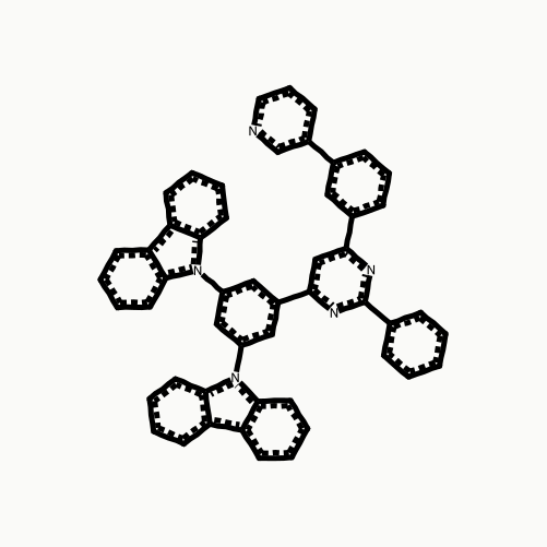 c1ccc(-c2nc(-c3cccc(-c4cccnc4)c3)cc(-c3cc(-n4c5ccccc5c5ccccc54)cc(-n4c5ccccc5c5ccccc54)c3)n2)cc1